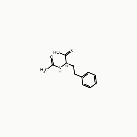 CC(=O)N[C@H](CCc1ccccc1)C(O)=S